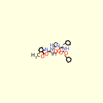 Cc1cccc2nc([C@@H](NC(=O)[C@@H]3CCCN3C(=O)[C@H](Cc3ccccc3)NC(=O)OCc3ccccc3)C(C)C)oc(=O)c12